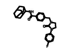 O=C(NC1C2CC3CC(C2)CC1C3)c1ccc(CN2CCN(c3ccc(F)cc3)C2=O)cc1